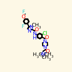 Cn1c(-c2ccc(OCF)cc2F)cnc1C(=O)Nc1ccc(C(=O)N2CCN(C(=O)C[N+](C)(C)C)CC2)c(Cl)c1